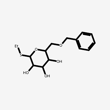 CCSC1OC(COCc2ccccc2)C(O)C(O)C1O